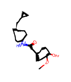 COc1cc(CC(=O)N[C@H]2CC[C@H](CC3CC3)CC2)ccc1O